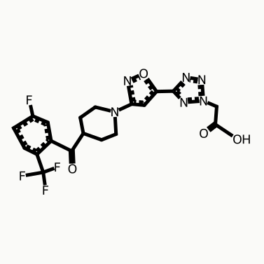 O=C(O)Cn1nnc(-c2cc(N3CCC(C(=O)c4cc(F)ccc4C(F)(F)F)CC3)no2)n1